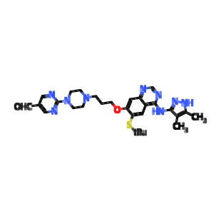 Cc1[nH]nc(Nc2ncnc3cc(OCCCN4CCN(c5ncc(C=O)cn5)CC4)c(SC(C)(C)C)cc23)c1C